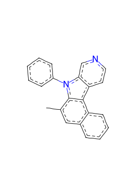 Cc1cc2ccccc2c2c3ccncc3n(-c3ccccc3)c12